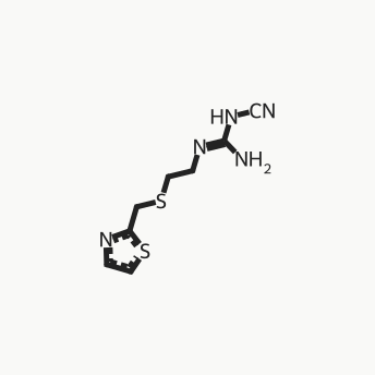 N#CN/C(N)=N/CCSCc1nccs1